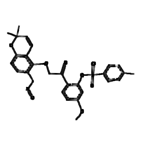 COc1ccc(C(=O)COc2c(CN=O)ccc3c2C=CC(C)(C)O3)c(OS(=O)(=O)c2ccc(C)cc2)c1